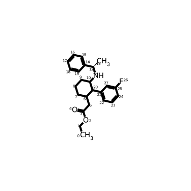 CCOC(=O)CC1CCCC(N[C@@H](C)c2ccccc2)C1c1cccc(F)c1